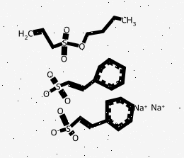 C=CCS(=O)(=O)OCCCC.O=S(=O)([O-])C=Cc1ccccc1.O=S(=O)([O-])C=Cc1ccccc1.[Na+].[Na+]